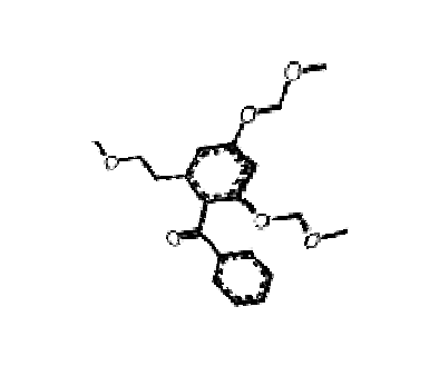 COCCc1cc(OCOC)cc(OCOC)c1C(=O)c1ccccc1